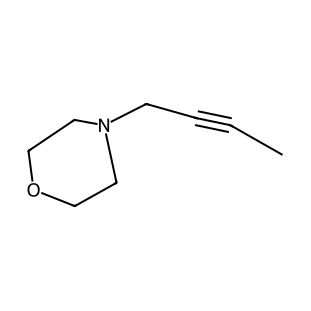 CC#CCN1CCOCC1